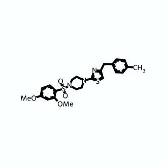 COc1ccc(S(=O)(=O)N2CCN(c3nc(Cc4ccc(C)cc4)cs3)CC2)c(OC)c1